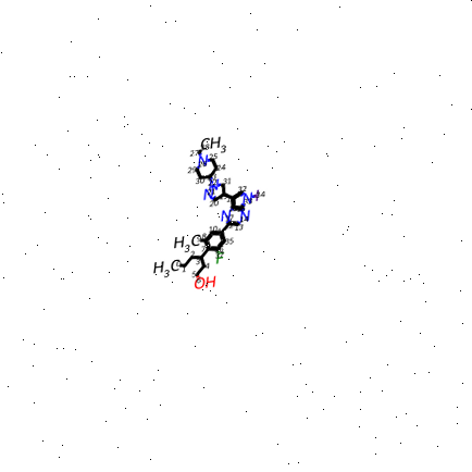 CCCC(CCO)c1c(C)cc(-c2cnc3c(n2)c(C2C=NN(C4CCN(CC)CC4)C2)cn3I)cc1F